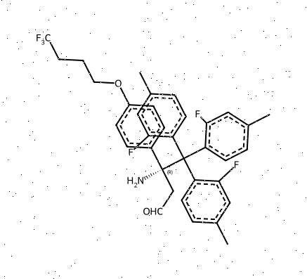 Cc1ccc(C(c2ccc(C)cc2F)(c2ccc(C)cc2F)[C@@](N)(CC=O)c2ccc(OCCCC(F)(F)F)cc2)c(F)c1